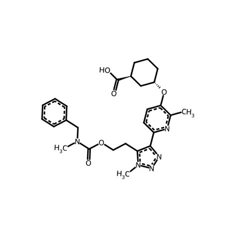 Cc1nc(-c2nnn(C)c2CCOC(=O)N(C)Cc2ccccc2)ccc1O[C@H]1CCC[C@H](C(=O)O)C1